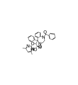 Cc1cc(C)nc(OC(C(=O)O)C2(c3ccccc3)NCCN(C(=O)c3ccccc3)c3ccccc32)n1